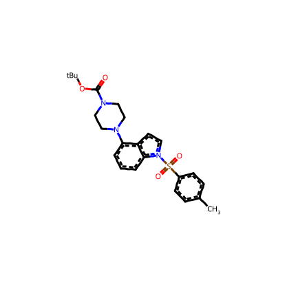 Cc1ccc(S(=O)(=O)n2ccc3c(N4CCN(C(=O)OC(C)(C)C)CC4)cccc32)cc1